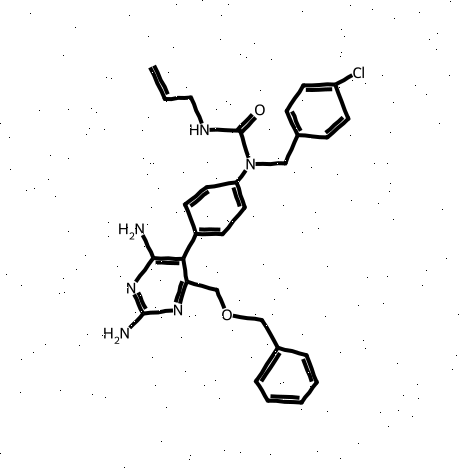 C=CCNC(=O)N(Cc1ccc(Cl)cc1)c1ccc(-c2c(N)nc(N)nc2COCc2ccccc2)cc1